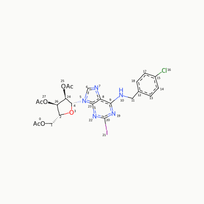 CC(=O)OC[C@H]1O[C@@H](n2cnc3c(NCc4ccc(Cl)cc4)nc(I)nc32)[C@H](OC(C)=O)[C@@H]1OC(C)=O